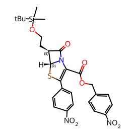 CC(C)(C)[Si](C)(C)OCC[C@H]1C(=O)N2C(C(=O)OCc3ccc([N+](=O)[O-])cc3)=C(c3ccc([N+](=O)[O-])cc3)S[C@H]12